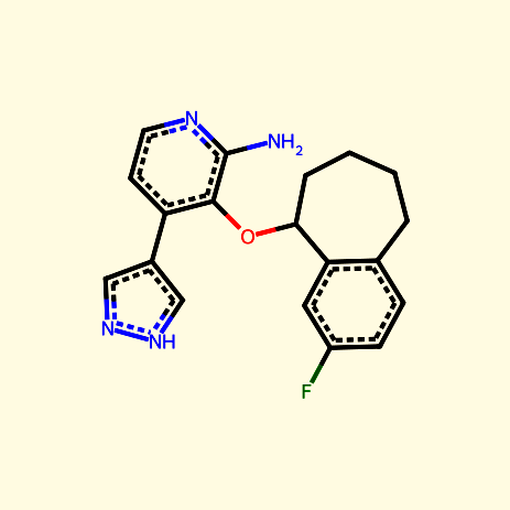 Nc1nccc(-c2cn[nH]c2)c1OC1CCCCc2ccc(F)cc21